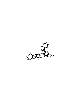 CCCCNc1ncc2c(-c3ccc(NC4CCCNCC4)cc3)cn(C3CCCCC3)c2n1